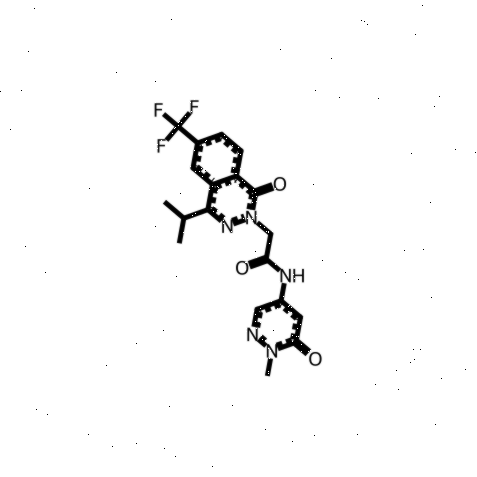 CC(C)c1nn(CC(=O)Nc2cnn(C)c(=O)c2)c(=O)c2ccc(C(F)(F)F)cc12